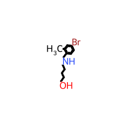 Cc1cc(Br)ccc1CNCCCCCO